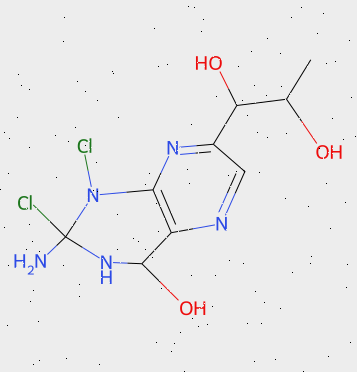 CC(O)C(O)c1cnc2c(n1)N(Cl)C(N)(Cl)NC2O